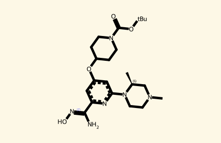 C[C@H]1CN(C)CCN1c1cc(OC2CCN(C(=O)OC(C)(C)C)CC2)cc(/C(N)=N/O)n1